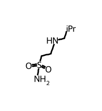 CC(C)CNCCS(N)(=O)=O